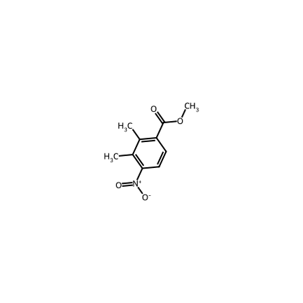 COC(=O)c1ccc([N+](=O)[O-])c(C)c1C